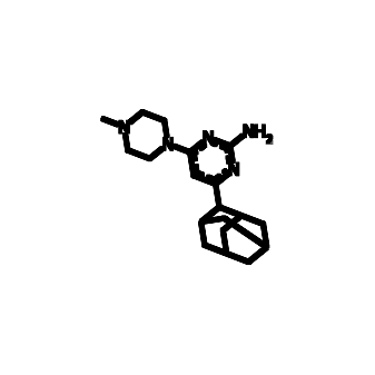 CN1CCN(c2cc(C3C4CC5CC(C4)CC3C5)nc(N)n2)CC1